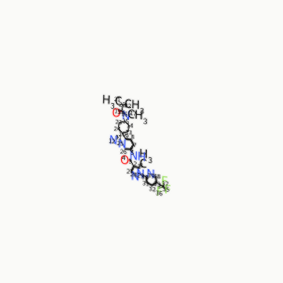 Cc1c(C(=O)Nc2ccc([C@]3(C#N)CC[C@@H](N(C)C(=O)C(C)C)CC3)nc2)cnn1-c1ccc(C(F)(F)F)cn1